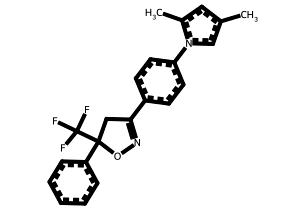 Cc1cc(C)n(-c2ccc(C3=NOC(c4ccccc4)(C(F)(F)F)C3)cc2)c1